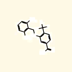 Cc1cccc(C)c1CNc1cc(C(=O)O)ccc1C(F)(F)F